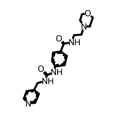 O=C(NCc1ccncc1)Nc1ccc(C(=O)NCCN2CCOCC2)cc1